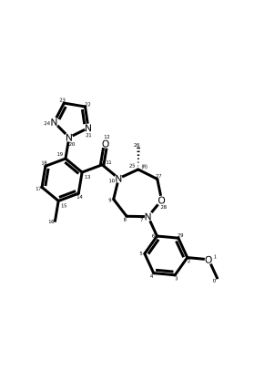 COc1cccc(N2CCN(C(=O)c3cc(C)ccc3-n3nccn3)[C@H](C)CO2)c1